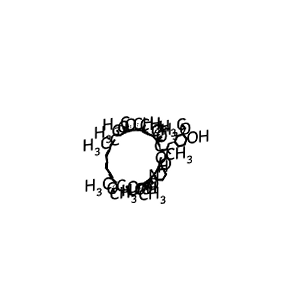 CO[C@H]1C[C@@H]2CC[C@@H](C)[C@@](O)(O2)C(=O)C(=O)N2CCCC[C@H]2C(=O)O[C@H]([C@H](C)C[C@@H]2CC[C@@H](O)[C@H](OC)C2)CC(=O)[C@H](C)/C=C(\C)[C@@H](C)[C@@H](OC)C(=O)[C@H](C)C[C@H](C)/C=C/C=C/C=C/1C